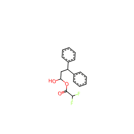 O=C(OC(O)CC(c1ccccc1)c1ccccc1)C(F)F